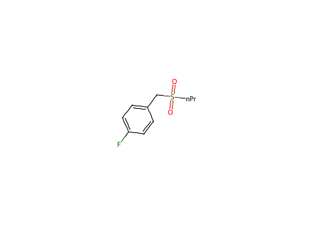 CCCS(=O)(=O)Cc1ccc(F)cc1